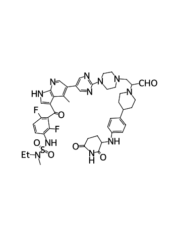 CCN(C)S(=O)(=O)Nc1ccc(F)c(C(=O)c2c[nH]c3ncc(-c4cnc(N5CCN(CC(C=O)N6CCC(c7ccc(NC8CCC(=O)NC8=O)cc7)CC6)CC5)nc4)c(C)c23)c1F